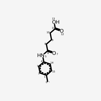 [CH2]c1ccc(NC(=O)CCCC(=O)O)cc1